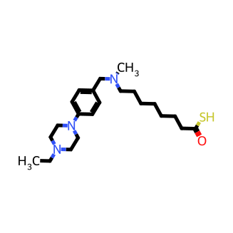 CCN1CCN(c2ccc(CN(C)CCCCCCCC(=O)S)cc2)CC1